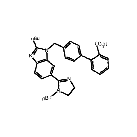 CCCCc1nc2ccc(C3=NCCN3CCCC)cc2n1Cc1ccc(-c2ccccc2C(=O)O)cc1